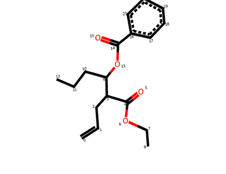 C=CCC(C(=O)OCC)C(CCC)OC(=O)c1ccccc1